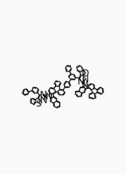 c1ccc(-c2cc(-c3ccc(-c4cccc5c4c4ccccc4c4ccc6c(c7cc8ccccc8cc7n6-c6nc(-c7cccc(-c8ccccc8)c7)c7c(n6)sc6ccccc67)c45)cc3)cc(-c3nc(-n4c5cc6ccccc6cc5c5c6c7ccccc7c7ccccc7c6ccc54)nc4oc5ccccc5c34)c2)cc1